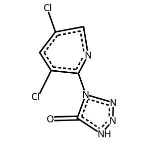 O=c1[nH]nnn1-c1ncc(Cl)cc1Cl